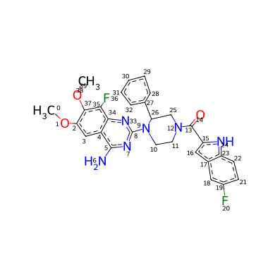 COc1cc2c(N)nc(N3CCN(C(=O)c4cc5cc(F)ccc5[nH]4)CC3c3ccccc3)nc2c(F)c1OC